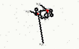 CCCCCCCCCCCCCCCCCCCCCCCC(CCCCCCCC)c1c2nc(c(Br)c3ccc([nH]3)c([SiH]3c4ccccc4-c4cccc(C(C)(CCCCCCC)CCCCCCCC)c43)c3nc(c(Br)c4cc([SiH]5c6ccccc6-c6ccccc65)c1[nH]4)C=C3)C=C2